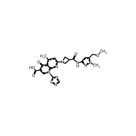 COCc1cc(NC(=O)C2CN(c3cc(C)c4c(=O)c(C(=O)O)cn(-c5ncns5)c4n3)C2)nn1C